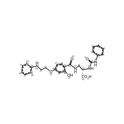 O=C(Nc1ccccc1)N[C@@H](CNC(=O)c1ccc(OCCNc2ncccn2)cc1O)C(=O)O